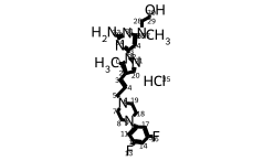 Cc1c(C=CCN2CCN(c3cc(F)cc(F)c3)CC2)cnn1-c1cc(N(C)CCO)nc(N)n1.Cl